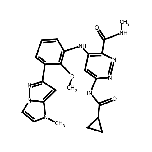 CNC(=O)c1nnc(NC(=O)C2CC2)cc1Nc1cccc(-c2cc3n(C)ccn3n2)c1OC